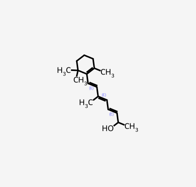 CC1=C(/C=C/C(C)=C/C=C/C(C)O)C(C)(C)CCC1